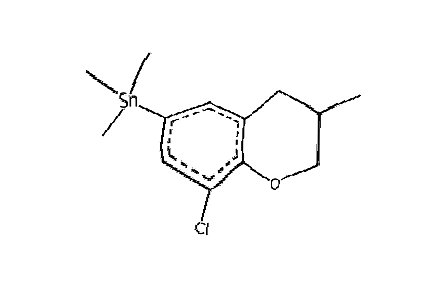 CC1COc2c(Cl)c[c]([Sn]([CH3])([CH3])[CH3])cc2C1